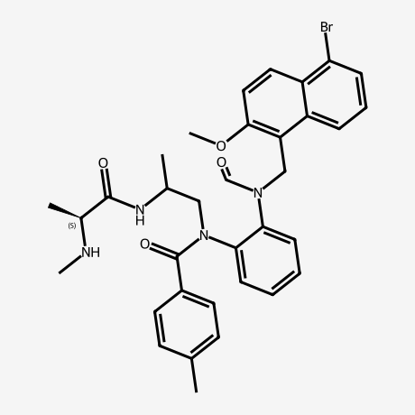 CN[C@@H](C)C(=O)NC(C)CN(C(=O)c1ccc(C)cc1)c1ccccc1N(C=O)Cc1c(OC)ccc2c(Br)cccc12